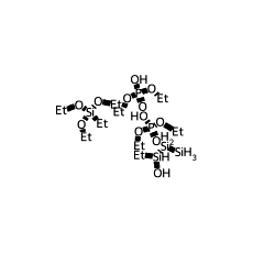 CCOP(=O)(O)OCC.CCOP(=O)(O)OCC.CCO[Si](CC)(OCC)OCC.CC[SiH](O)[SiH2][SiH3]